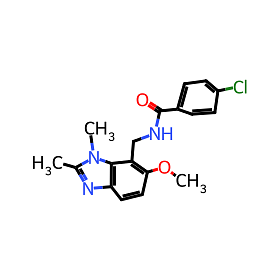 COc1ccc2nc(C)n(C)c2c1CNC(=O)c1ccc(Cl)cc1